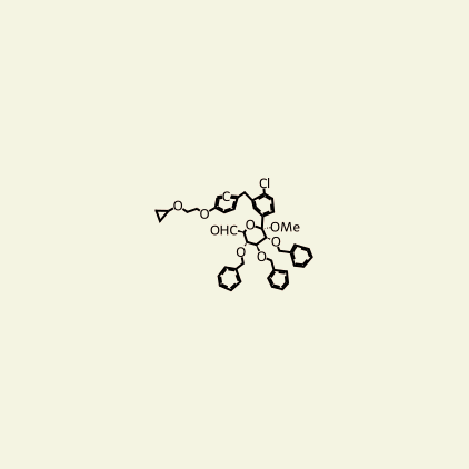 CO[C@@]1(c2ccc(Cl)c(Cc3ccc(OCCOC4CC4)cc3)c2)O[C@H](C=O)[C@@H](OCc2ccccc2)[C@H](OCc2ccccc2)[C@H]1OCc1ccccc1